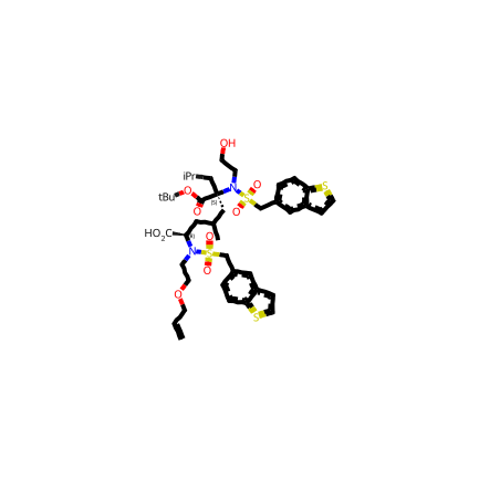 C=CCOCCN([C@H](CC(C)C[C@@](CC(C)C)(C(=O)OC(C)(C)C)N(CCO)S(=O)(=O)Cc1ccc2sccc2c1)C(=O)O)S(=O)(=O)Cc1ccc2sccc2c1